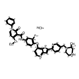 CCOc1ccn(-c2ccccc2)c(=O)c1C(=O)Nc1ccc(Oc2ccnc3cc(-c4ccc(CN5CCNCC5C)cn4)sc23)c(F)c1.Cl